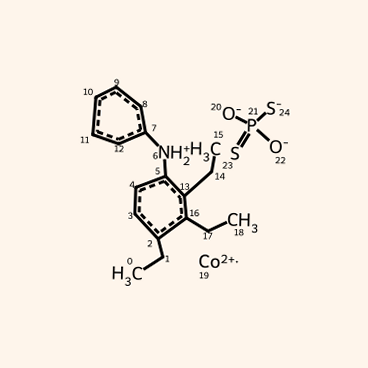 CCc1ccc([NH2+]c2ccccc2)c(CC)c1CC.[Co+2].[O-]P([O-])(=S)[S-]